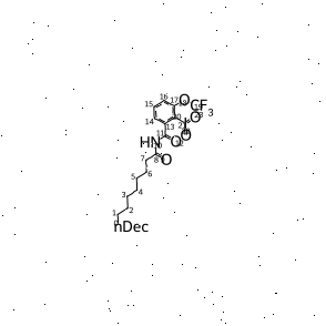 CCCCCCCCCCCCCCCCCC(=O)NC(=O)c1cccc(OC(F)(F)F)c1I(=O)=O